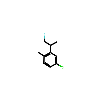 C[C](CF)c1cc(Cl)ccc1C